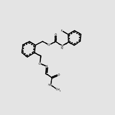 CNC(=O)C=NOCc1ccccc1COC(=O)Nc1ccccc1F